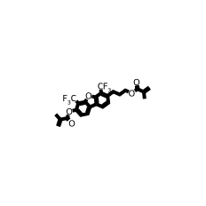 C=C(C)C(=O)OCCCc1ccc2c(oc3c(C(F)(F)F)c(OC(=O)C(=C)C)ccc32)c1C(F)(F)F